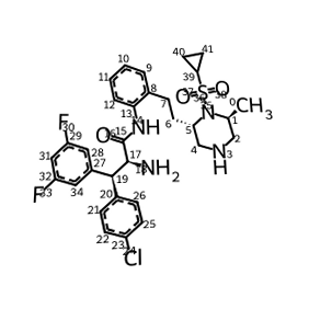 C[C@H]1CNC[C@H](CCc2ccccc2NC(=O)[C@@H](N)[C@@H](c2ccc(Cl)cc2)c2cc(F)cc(F)c2)N1S(=O)(=O)C1CC1